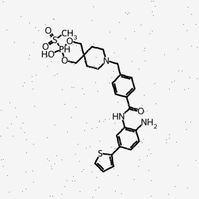 CS(=O)(=O)[PH]1(O)OCC2(CCN(Cc3ccc(C(=O)Nc4cc(-c5cccs5)ccc4N)cc3)CC2)CO1